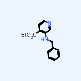 CCOC(=O)c1ccncc1NCc1ccccc1